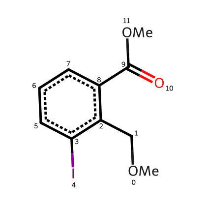 COCc1c(I)cccc1C(=O)OC